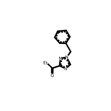 CCC(=O)c1ncn(Cc2ccccc2)n1